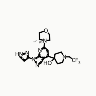 C[C@@H]1COCCN1c1cc(C2(O)CCN(CC(F)(F)F)CC2)c2cnn(-c3cc[nH]n3)c2n1